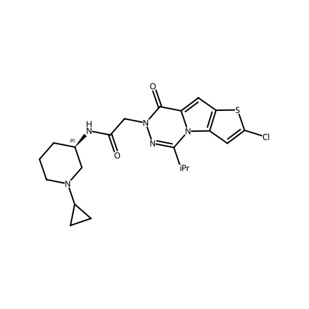 CC(C)c1nn(CC(=O)N[C@@H]2CCCN(C3CC3)C2)c(=O)c2cc3sc(Cl)cc3n12